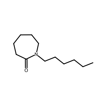 CCCCCCN1CCCCCC1=O